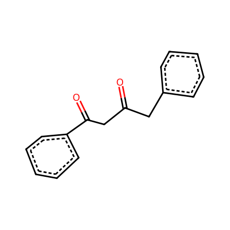 O=C(CC(=O)c1ccccc1)Cc1ccccc1